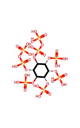 O=P(O)(O)O[C@@H]1[C@H](OP(=O)(O)O)[C@@H](OP(=O)(O)O)[C@H](OP(=O)(O)OP(=O)(O)O)[C@@H](OP(=O)(O)OP(=O)(O)O)[C@@H]1OP(=O)(O)O